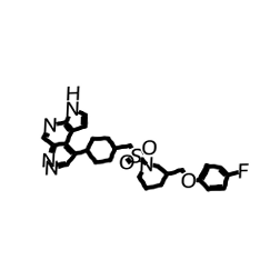 O=S(=O)(CC1CCC(c2cnnc3cnc4[nH]ccc4c23)CC1)N1CCCC(COc2ccc(F)cc2)C1